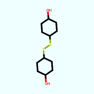 OC1CCC(SSC2CCC(O)CC2)CC1